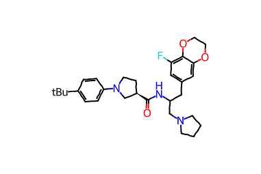 CC(C)(C)c1ccc(N2CC[C@@H](C(=O)NC(Cc3cc(F)c4c(c3)OCCO4)CN3CCCC3)C2)cc1